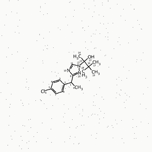 CC(c1ccc(Cl)cc1)c1ncn(C(C)(O)C(C)(C)C)n1